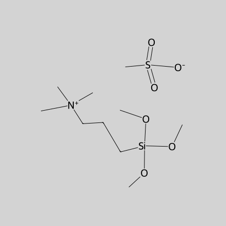 CO[Si](CCC[N+](C)(C)C)(OC)OC.CS(=O)(=O)[O-]